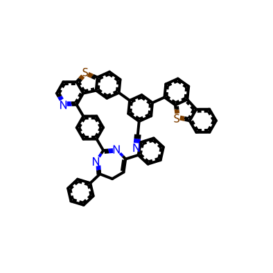 N#Cc1cc(-c2ccc3sc4ccnc(-c5ccc(C6=NC(c7ccccc7)=CCC(c7ccccc7)=N6)cc5)c4c3c2)cc(-c2cccc3c2sc2ccccc23)c1